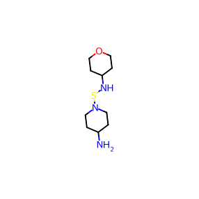 NC1CCN(SNC2CCOCC2)CC1